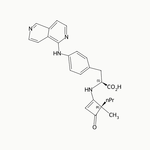 CCC[C@@]1(C)C(=O)C=C1N[C@@H](Cc1ccc(Nc2nccc3cnccc23)cc1)C(=O)O